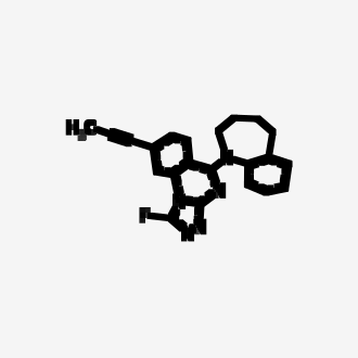 CC#Cc1ccc2c(N3CCCCc4ccccc43)nc3nnc(F)n3c2c1